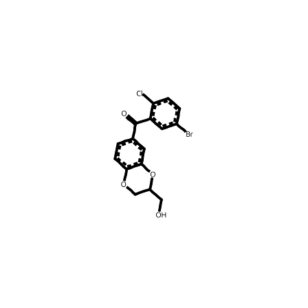 O=C(c1ccc2c(c1)OC(CO)CO2)c1cc(Br)ccc1Cl